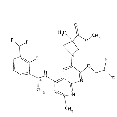 COC(=O)C1(C)CN(c2cc3c(N[C@H](C)c4cccc(C(F)F)c4F)nc(C)nc3nc2OCC(F)F)C1